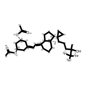 [2H]C([2H])([2H])C(C)(O)CCCC1([C@H]2CCC3/C(=C/C=C4C[C@@H](OC(C)=O)C[C@H](OC(C)=O)C4)CCC[C@@]32C)CC1